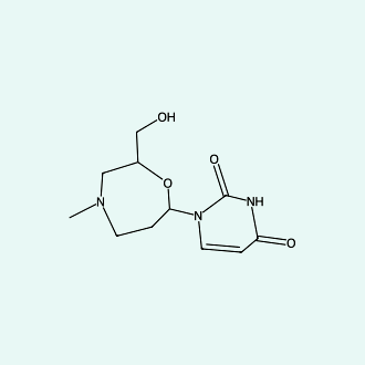 CN1CCC(n2ccc(=O)[nH]c2=O)OC(CO)C1